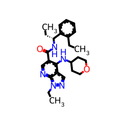 CCc1ccccc1[C@@H](CC)NC(=O)c1cnc2c(cnn2CC)c1NC1CCOCC1